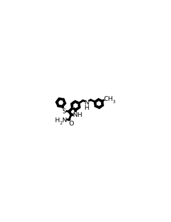 Cc1cccc(CNCc2ccc3c(Sc4ccccc4)c(C(N)=O)[nH]c3c2)c1